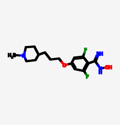 BN1CCC(CCCOc2cc(F)c(C(=N)NO)c(F)c2)CC1